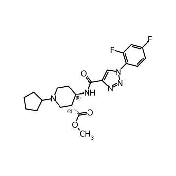 COC(=O)[C@@H]1CN(C2CCCC2)CC[C@H]1NC(=O)c1cn(-c2ccc(F)cc2F)nn1